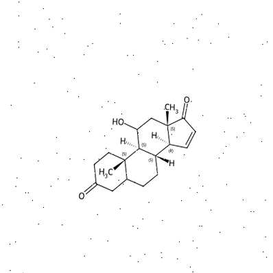 C[C@]12CCC(=O)CC1CC[C@@H]1[C@@H]2C(O)C[C@]2(C)C(=O)C=C[C@@H]12